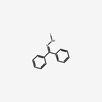 INN=C(c1ccccc1)c1ccccc1